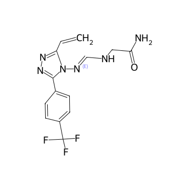 C=Cc1nnc(-c2ccc(C(F)(F)F)cc2)n1/N=C/NCC(N)=O